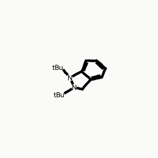 CC(C)(C)N1Cc2ccccc2N1C(C)(C)C